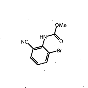 COC(=O)Nc1c(Br)cccc1C#N